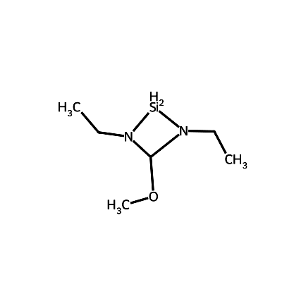 CCN1[SiH2]N(CC)C1OC